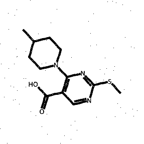 CSc1ncc(C(=O)O)c(N2CCC(C)CC2)n1